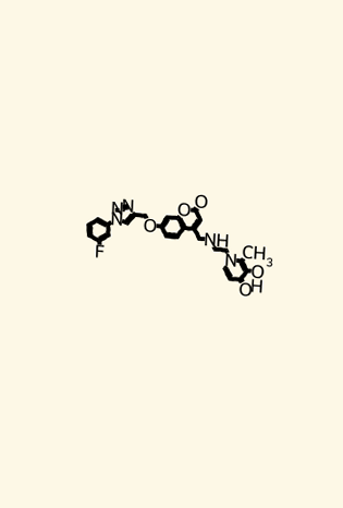 Cc1c(O)c(=O)ccn1CCNCc1cc(=O)oc2cc(OCc3cn(-c4cccc(F)c4)nn3)ccc12